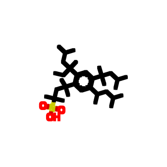 CCC(C)(CC(C)C)c1cc(C(C)(C)CC(C)C)c(C(C)CC(C)C)cc1C(C)(C)CC(C)(C)S(=O)(=O)O